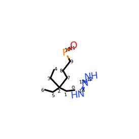 CCC(CC)(CC)CCCP=O.N=[N+]=N